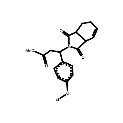 CCOc1ccc(C(CC(=O)OC)N2C(=O)C3C=CCCC3C2=O)cc1